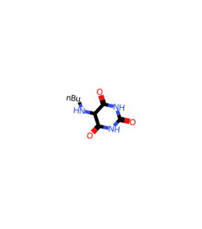 CCCCNC1C(=O)NC(=O)NC1=O